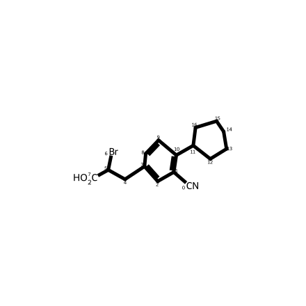 N#Cc1cc(CC(Br)C(=O)O)ccc1C1CCCCC1